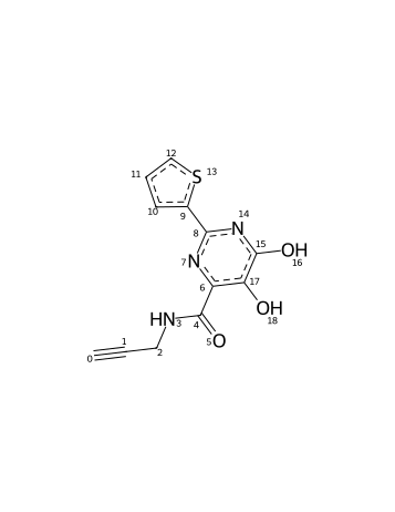 C#CCNC(=O)c1nc(-c2cccs2)nc(O)c1O